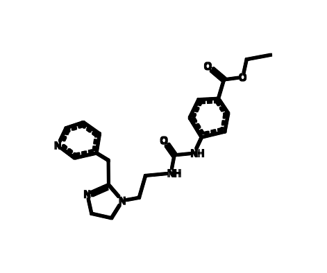 CCOC(=O)c1ccc(NC(=O)NCCN2CCN=C2Cc2cccnc2)cc1